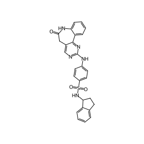 O=C1Cc2cnc(Nc3ccc(S(=O)(=O)NC4CCc5ccccc54)cc3)nc2-c2ccccc2N1